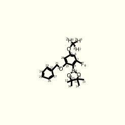 [2H]C([2H])([2H])Oc1cc(F)c(B2OC(C)(C)C(C)(C)O2)c(OCc2ccccc2)c1